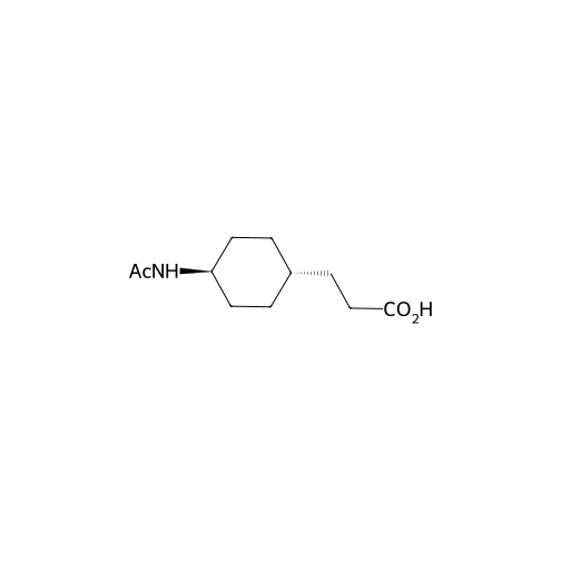 CC(=O)N[C@H]1CC[C@H](CCC(=O)O)CC1